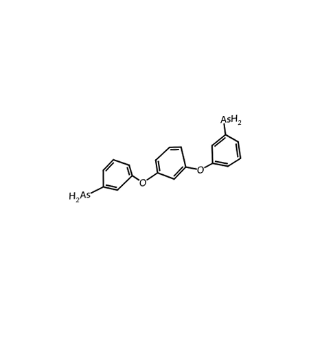 [AsH2]c1cccc(Oc2cccc(Oc3cccc([AsH2])c3)c2)c1